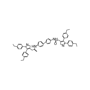 C=C(CC1=C(c2ccc(CC)cc2)C(c2ccc(CC)cc2)=NC1)Nc1ccc(-c2ccc(NC(=O)CC3=C(c4ccc(CC)cc4)C(c4ccc(CC)cc4)=NC3)cc2)cc1